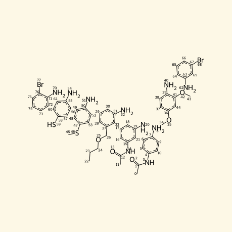 CC(=O)Nc1ccc(N)cc1.CC(=O)Nc1cccc(N)c1.CCCOCc1cccc(N)c1.COc1ccc(N)c(OC)c1.CSc1ccc(N)cc1.Nc1ccc(S)cc1.Nc1cccc(Br)c1.Nc1ccccc1Br